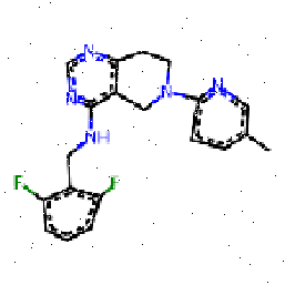 Cc1ccc(N2CCc3ncnc(NCc4c(F)cccc4F)c3C2)nc1